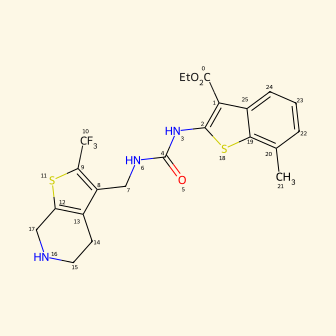 CCOC(=O)c1c(NC(=O)NCc2c(C(F)(F)F)sc3c2CCNC3)sc2c(C)cccc12